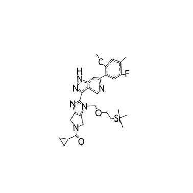 CCc1cc(C)c(F)cc1-c1cc2[nH]nc(-c3nc4c(n3COCC[Si](C)(C)C)CN(C(=O)C3CC3)C4)c2cn1